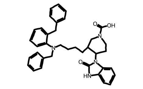 O=C(O)N1CCC(n2c(=O)[nH]c3ccccc32)C(CCCCN(Cc2ccccc2)c2ccccc2Cc2ccccc2)C1